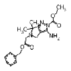 CCOC(=O)n1nc2c(c1N)CN(CC(=O)OCc1ccccc1)C2(C)C